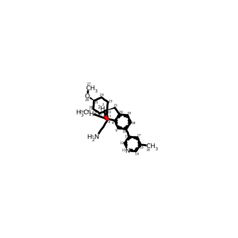 [2H]C1([2H])OC(N)=N[C@]12c1cc(-c3cncc(C)c3)ccc1C[C@@]21CC[C@H](OC)[C@@H](C)C1